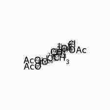 CC(=O)OC[C@@H](COc1ccc(C(C)(C)c2ccc(OC[C@@H](CCl)OC(C)=O)c(I)c2)cc1)OC(C)=O